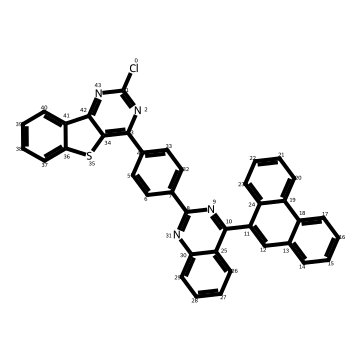 Clc1nc(-c2ccc(-c3nc(-c4cc5ccccc5c5ccccc45)c4ccccc4n3)cc2)c2sc3ccccc3c2n1